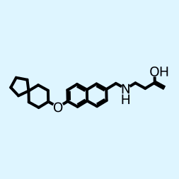 C=C(O)CCNCc1ccc2cc(OC3CCC4(CCCC4)CC3)ccc2c1